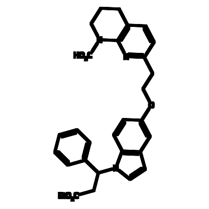 CCOC(=O)CC(c1ccccc1)n1ccc2cc(OCCc3ccc4c(n3)N(C(=O)O)CCC4)ccc21